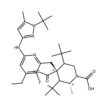 CCc1cc(Nc2cc(C)n(C(C)(C)C)n2)nc(C[C@@]2(C(=O)O)C(C(C)(C)C)CN(C(=O)O)[C@H](C)C2C(C)(C)C)c1F